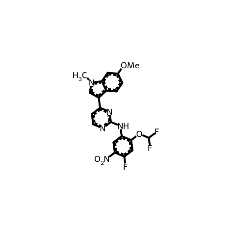 COc1ccc2c(-c3ccnc(Nc4cc([N+](=O)[O-])c(F)cc4OC(F)F)n3)cn(C)c2c1